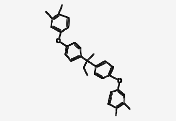 CCC(C)(c1ccc(Oc2ccc(C)c(C)c2)cc1)c1ccc(Oc2ccc(C)c(C)c2)cc1